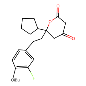 CC(C)COc1ccc(CCC2(C3CCCC3)CC(=O)CC(=O)O2)cc1F